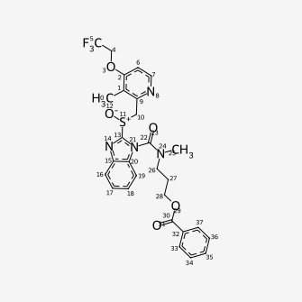 Cc1c(OCC(F)(F)F)ccnc1C[S+]([O-])c1nc2ccccc2n1C(=O)N(C)CCCOC(=O)c1ccccc1